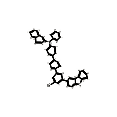 Brc1cc(-c2ccc(-c3ccc(N(c4ccccc4)c4ccc5ccccc5c4)cc3)cc2)cc(-c2ccc3oc4ccccc4c3c2)c1